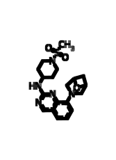 CS(=O)(=O)N1CCC(Nc2ncc3cccc(N4CC5CC(C4)O5)c3n2)CC1